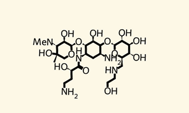 CN[C@@H]1[C@@H](O)[C@@H](O[C@H]2[C@H](NC(=O)[C@@H](O)CCN)C[C@H](N)C(O[C@H]3O[C@H](CNCCO)[C@@H](O)[C@H](O)[C@H]3O)[C@@H]2O)OC[C@]1(C)O